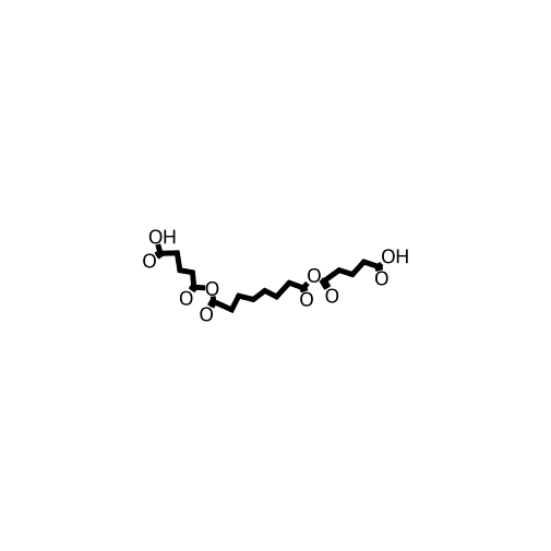 O=C(O)CCCC(=O)OC(=O)CCCCCCC(=O)OC(=O)CCCC(=O)O